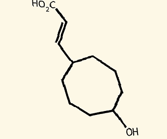 O=C(O)C=CC1CCCC(O)CCC1